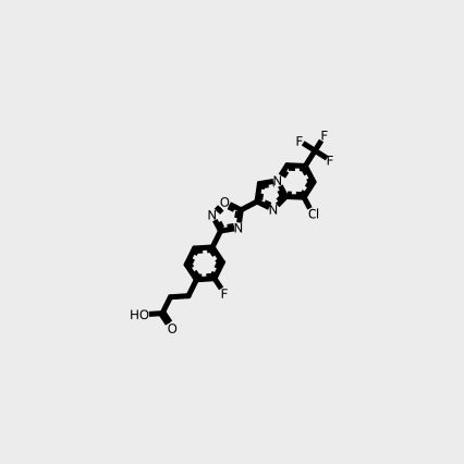 O=C(O)CCc1ccc(-c2noc(-c3cn4cc(C(F)(F)F)cc(Cl)c4n3)n2)cc1F